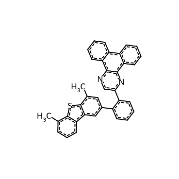 Cc1cccc2c1sc1c(C)cc(-c3ccccc3-c3cnc4c5ccccc5c5ccccc5c4n3)cc12